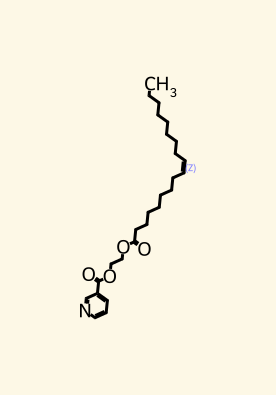 CCCCCCCC/C=C\CCCCCCCC(=O)OCCOC(=O)c1cccnc1